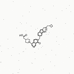 O=C(O)CC1CCN(c2cncc3c(=O)n(Cc4ccc5cc(CNCC6CCC6)[nH]c5c4)ccc23)CC1